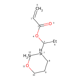 C=CC(=O)OC(CC)[SiH]1CCCO[SiH2]1